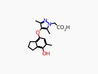 Cc1cc(Oc2c(C)nn(CC(=O)O)c2C)c2c(c1O)CCC2